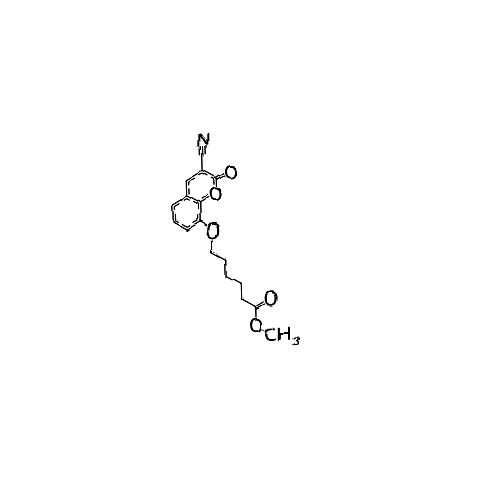 COC(=O)CCCCCOc1cccc2cc(C#N)c(=O)oc12